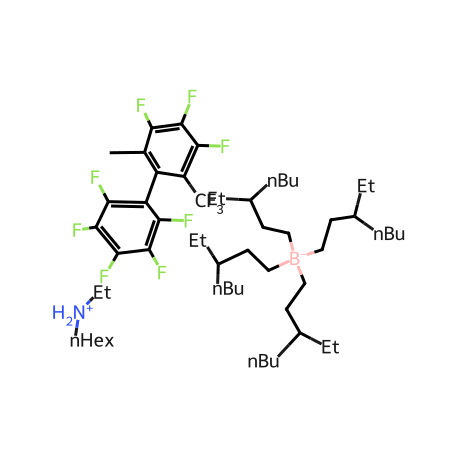 CCCCC(CC)CC[B-](CCC(CC)CCCC)(CCC(CC)CCCC)CCC(CC)CCCC.CCCCCC[NH2+]CC.Cc1c(F)c(F)c(F)c(C(F)(F)F)c1-c1c(F)c(F)c(F)c(F)c1F